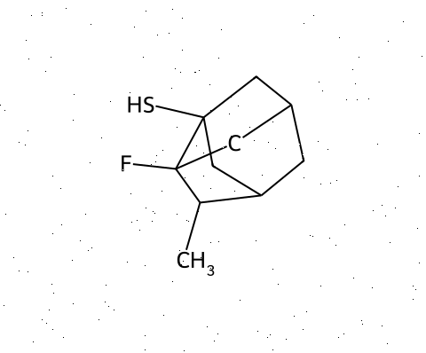 CC1C2CC3CC(S)(C2)C1(F)C3